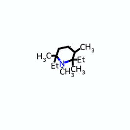 CCC1(C)C[CH]C(C)C(C)(CC)N1C